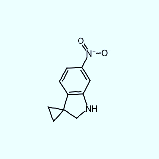 O=[N+]([O-])c1ccc2c(c1)NCC21CC1